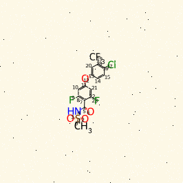 CS(=O)(=O)NC(=O)c1c(F)cc(Oc2ccc(Cl)c(C(F)(F)F)c2)cc1F